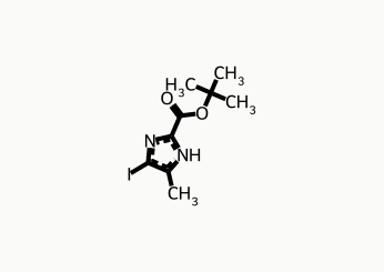 Cc1[nH]c(C(=O)OC(C)(C)C)nc1I